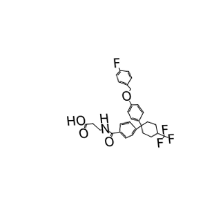 O=C(O)CCNC(=O)c1ccc(C2(c3ccc(OCc4ccc(F)cc4)cc3)CCC(C(F)(F)F)CC2)cc1